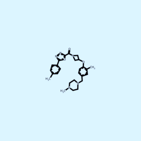 Cc1ccc(-c2nnc(C(=O)N3CC(Oc4ccc(CN5CCN(C)CC5)cc4C)C3)o2)cc1